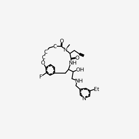 C#CCC1C(=O)NC(C(O)CNCc2cncc(CC)c2)Cc2ccc(c(F)c2)OCCCCC(=O)N1C